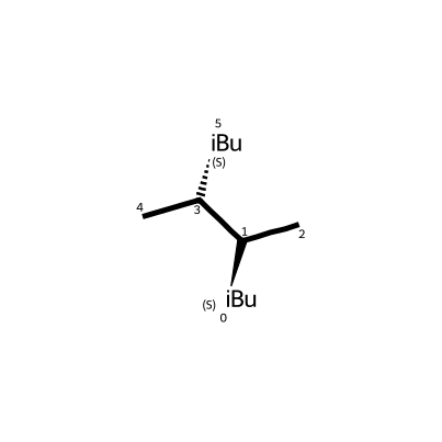 CC[C@H](C)C(C)C(C)[C@@H](C)CC